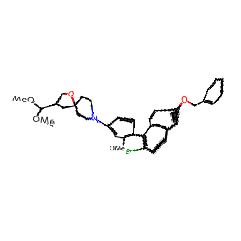 COc1cc(N2CCC3(CC2)CC(C(OC)OC)CO3)ccc1C1=C(Br)CCc2cc(OCc3ccccc3)ccc21